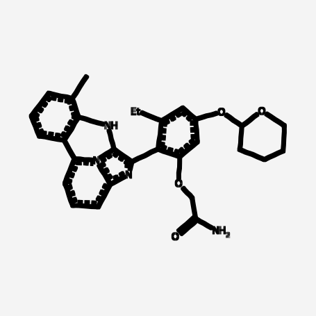 CCc1cc(OC2CCCCO2)cc(OCC(N)=O)c1-c1nc2cccc3n2c1Nc1c(C)cccc1-3